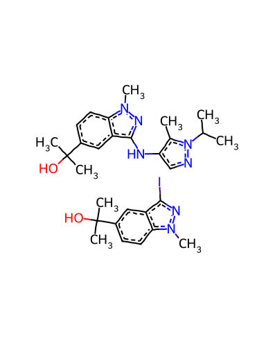 Cc1c(Nc2nn(C)c3ccc(C(C)(C)O)cc23)cnn1C(C)C.Cn1nc(I)c2cc(C(C)(C)O)ccc21